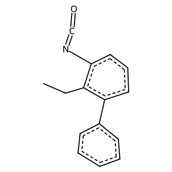 CCc1c(N=C=O)cccc1-c1ccccc1